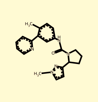 Cc1ccc(NC(=O)N2CCCC2c2ccn(C)n2)cc1-c1ccccn1